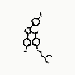 CCN(CC)CCSc1ccc(C(=O)c2c(-c3ccc(OC)cc3)noc2-c2ccc(OC)cc2)cc1